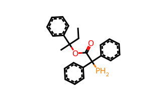 CCC(C)(OC(=O)C(P)(c1ccccc1)c1ccccc1)c1ccccc1